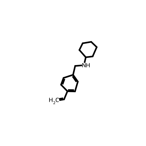 C=Cc1ccc(CNC2CCCCC2)cc1